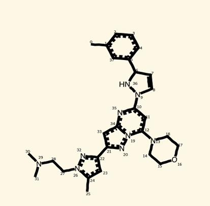 Cc1cccc(C2C=CN(c3cc(N4CCOCC4)n4nc(-c5cc(C)n(CCN(C)C)n5)cc4n3)N2)c1